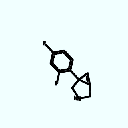 Fc1ccc(C23C=C2CNC3)c(F)c1